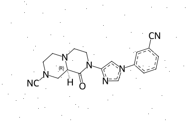 N#Cc1cccc(-n2cnc(N3CCN4CCN(C#N)C[C@@H]4C3=O)c2)c1